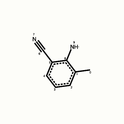 Cc1cccc(C#N)c1[NH]